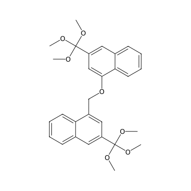 COC(OC)(OC)c1cc(COc2cc(C(OC)(OC)OC)cc3ccccc23)c2ccccc2c1